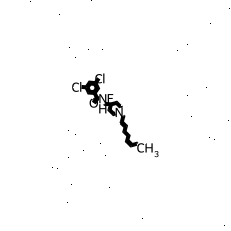 CC/C=C\CC/C=C/CN1CCC(F)(CNC(=O)c2cc(Cl)cc(Cl)c2)CC1